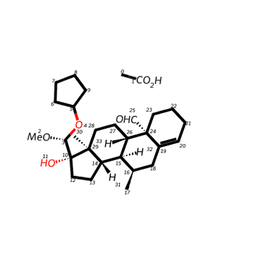 CC(=O)O.CO[C@H](OC1CCCC1)[C@]1(O)CC[C@H]2[C@@H]3[C@H](C)CC4=CCCC[C@]4(C=O)[C@H]3CC[C@@]21C